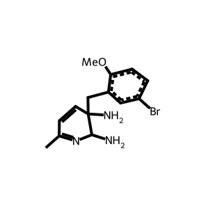 COc1ccc(Br)cc1CC1(N)C=CC(C)=NC1N